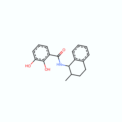 CC1CCc2ccccc2C1NC(=O)c1cccc(O)c1O